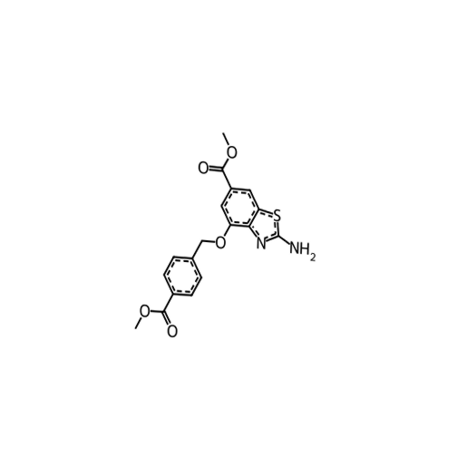 COC(=O)c1ccc(COc2cc(C(=O)OC)cc3sc(N)nc23)cc1